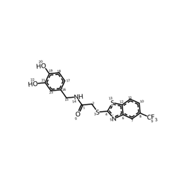 O=C(CSc1nc2cc(C(F)(F)F)ccc2s1)NCc1ccc(O)c(O)c1